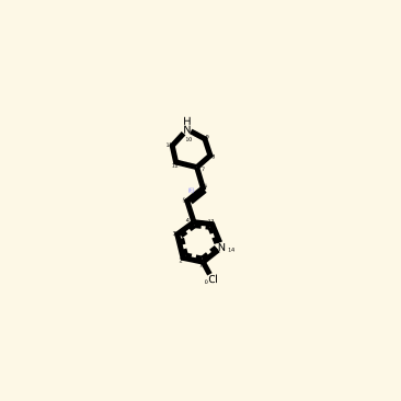 Clc1ccc(/C=C/C2CCNCC2)cn1